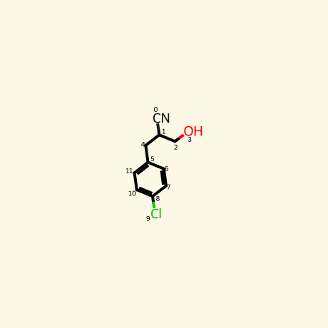 N#CC(CO)Cc1ccc(Cl)cc1